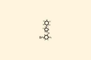 Cc1ccc(Br)cc1Cc1ccc(-c2ccccc2)s1